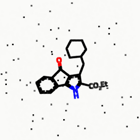 CCOC(=O)c1[nH]c2c(c1CC1CCCCC1)C(=O)c1ccccc1-2